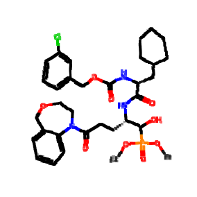 CCOP(=O)(OCC)C(O)[C@H](CCC(=O)N1CCOCc2ccccc21)NC(=O)[C@H](CC1CCCCC1)NC(=O)OCc1cccc(Cl)c1